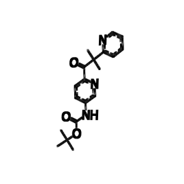 CC(C)(C)OC(=O)Nc1ccc(C(=O)C(C)(C)c2ccccn2)nc1